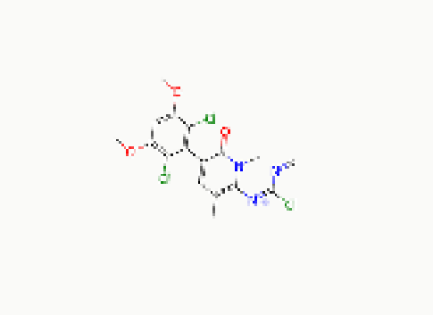 C=N/C(Cl)=N\c1c(C)cc(-c2c(Cl)c(OC)cc(OC)c2Cl)c(=O)n1C